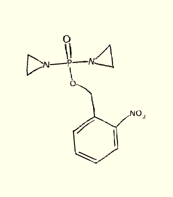 O=[N+]([O-])c1ccccc1COP(=O)(N1CC1)N1CC1